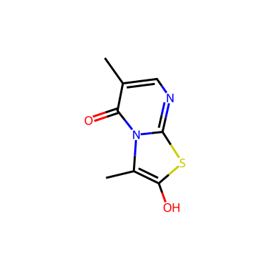 Cc1cnc2sc(O)c(C)n2c1=O